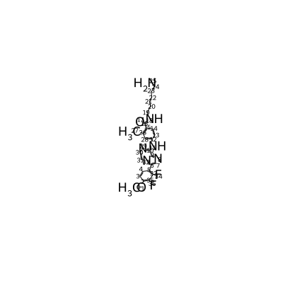 COc1ccc(-c2cnc3c(Nc4ccc(C(=O)NCCCCCCN)c(C)c4)nccn23)c(F)c1F